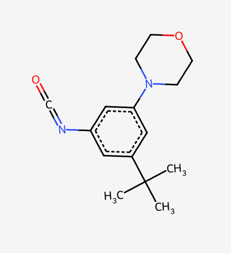 CC(C)(C)c1cc(N=C=O)cc(N2CCOCC2)c1